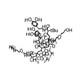 CC(C(=O)NCCOCCN=[N+]=[N-])C(C(=O)O)C(C)(C)CC(C(=O)O)C(C(=O)NCCc1ccc(O)c(O)c1)C(C)(C)CC(C(=O)NCCOCCCO)C(C(=O)O)C(C)(C)CC(C(=O)O)C(C(=O)NCCc1ccc(O)c(O)c1)C(C)(C)C